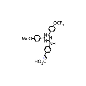 COc1ccc(-c2nc(Nc3ccc(/C=C/C(=O)O)cc3)nc(-c3ccc(OC(F)(F)F)cc3)n2)cc1